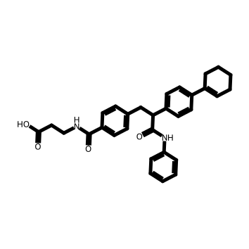 O=C(O)CCNC(=O)c1ccc(CC(C(=O)Nc2ccccc2)c2ccc(C3=CCCCC3)cc2)cc1